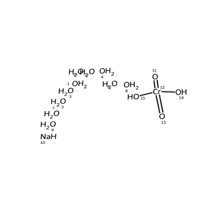 O.O.O.O.O.O.O.O.O.O.[NaH].[O]=[Cr](=[O])([OH])[OH]